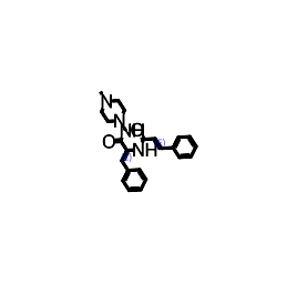 CN1CCN(NC(=O)/C(=C/c2ccccc2)NC(=O)/C=C/c2ccccc2)CC1